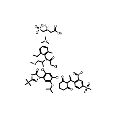 CC(C)Oc1cc(-n2nc(C(C)(C)C)oc2=O)c(Cl)cc1Cl.CCc1cccc(C)c1N(C(=O)CCl)C(C)COC.CS(=O)(=O)c1ccc(C(=O)C2C(=O)CCCC2=O)c([N+](=O)[O-])c1.C[S+](C)C.O=C(O)CNCP(=O)([O-])O